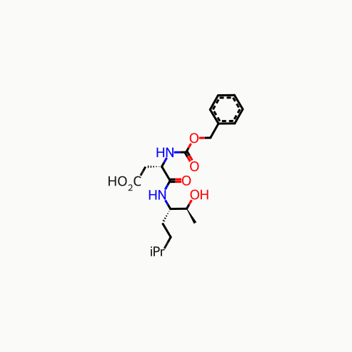 CC(C)CC[C@H](NC(=O)[C@H](CC(=O)O)NC(=O)OCc1ccccc1)[C@H](C)O